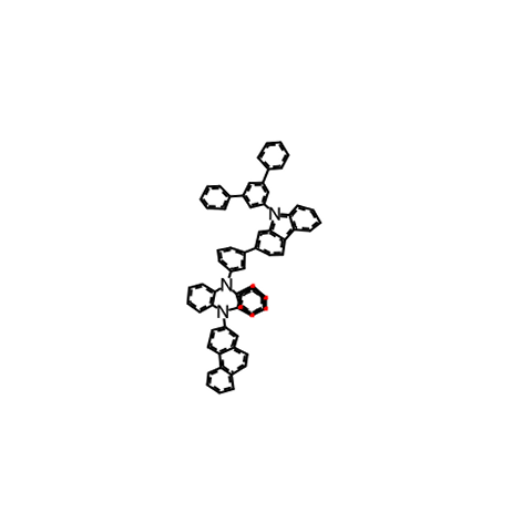 c1ccc(-c2cc(-c3ccccc3)cc(-n3c4ccccc4c4ccc(-c5cccc(N(c6ccccc6)c6ccccc6N(c6ccccc6)c6ccc7c(ccc8ccccc87)c6)c5)cc43)c2)cc1